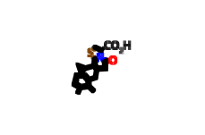 Cc1cccc(Cc2cc(=O)n3c(c2C2CC2)SC[C@H]3C(=O)O)c1C